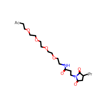 CC(=O)CCOCCOCCOCCOCCNC(=O)CCN1C(=O)CC(C(C)C)C1=O